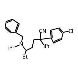 CCC(CCC(C#N)(c1ccc(Cl)cc1)C(C)C)N(Cc1ccccc1)C(C)C